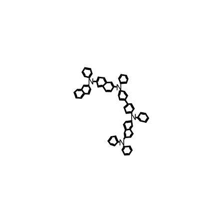 c1ccc(N(c2ccccc2)c2ccc3cc(N(c4ccccc4)c4ccc(-c5ccc(N(c6ccccc6)c6ccc7cc(N(c8ccccc8)c8ccc9ccccc9c8)ccc7c6)cc5)cc4)ccc3c2)cc1